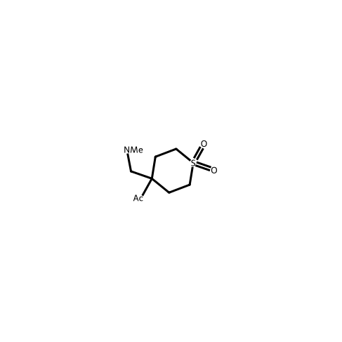 CNCC1(C(C)=O)CCS(=O)(=O)CC1